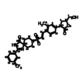 Cc1cc(N2CC(CO)OC2=O)ccc1C=CS(=O)(=O)N1CCC2(CC1)N=C(c1cccc(C(F)(F)F)c1)NC2=O